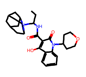 CCC(NC(=O)c1c(O)c2ccccc2n(C2CCOCC2)c1=O)N1C2CC3CC(C2)CC1C3